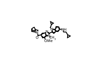 COc1cc(C(=O)N2CC34CC(CC23)C4)cc2nc(-c3cc4cc(NCCC5CC5)ccc4n3CC3CC3)n(C)c12